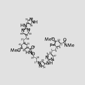 CNC(=O)c1cc(CCc2cnc(Nc3cnn(CCCONC(=O)c4cc(CCc5cnc(Nc6cn[nH]c6)nc5)cc(OC)c4)c3)nc2)c(F)c(OC)c1